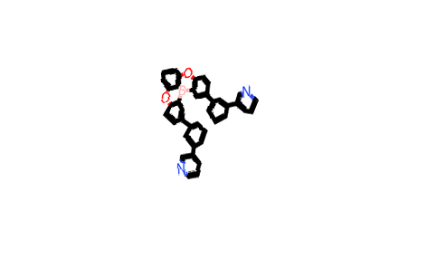 c1cncc(-c2cccc(-c3ccc4c(c3)B3c5cc(-c6cccc(-c7cccnc7)c6)ccc5Oc5cccc(c53)O4)c2)c1